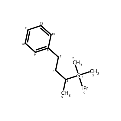 CC(C)S(C)(C)C(C)CCc1ccccc1